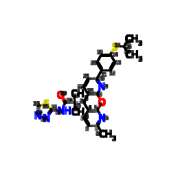 Cc1ccc2c(n1)Oc1nc(-c3ccc(SC(C)C)cc3)ccc1[C@H]2C(C)(C)C(=O)Nc1nncs1